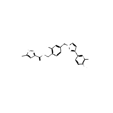 Cc1cc(C(=O)NCc2ccc(Cn3ccc(-c4ccc(C#N)c(Cl)c4)n3)cc2F)n[nH]1